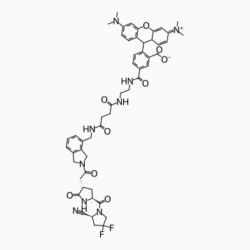 CN(C)c1ccc2c(c1)OC1=CC(=[N+](C)C)C=CC1C2c1ccc(C(=O)NCCNC(=O)CCC(=O)NCc2cccc3c2CN(C(=O)C[C@@H]2C[C@@H](C(=O)N4CC(F)(F)C[C@H]4C#N)NC2=O)C3)cc1C(=O)[O-]